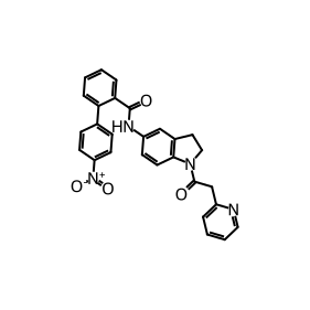 O=C(Nc1ccc2c(c1)CCN2C(=O)Cc1ccccn1)c1ccccc1-c1ccc([N+](=O)[O-])cc1